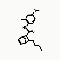 CCCCC1C2C=CC(C2)C1C(=O)Nc1ccc(OC)cc1C